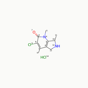 Cc1c2c(n(C)c(=O)c1Cl)C(C)NC2.Cl